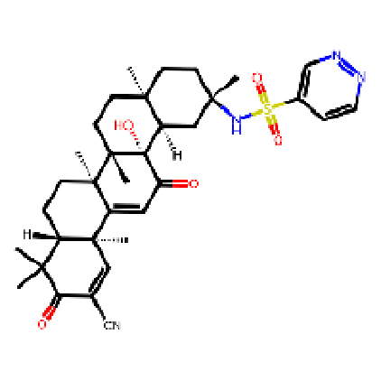 CC1(C)C(=O)C(C#N)=C[C@]2(C)C3=CC(=O)[C@]4(O)[C@@H]5C[C@@](C)(NS(=O)(=O)c6ccnnc6)CC[C@]5(C)CC[C@@]4(C)[C@]3(C)CC[C@@H]12